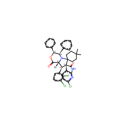 CC1(C)CCC2(CC1)N1[C@H](c3ccccc3)[C@H](c3ccccc3)OC(=O)[C@H]1[C@H](c1cccc(Cl)c1F)[C@@]21C(=O)Nc2nc(Cl)ccc21